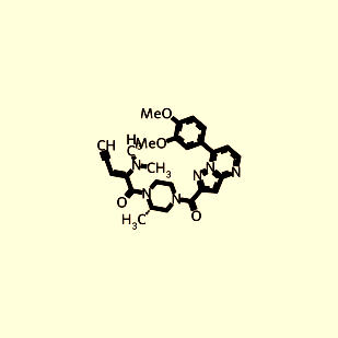 C#C/C=C(/C(=O)N1CCN(C(=O)c2cc3nccc(-c4ccc(OC)c(OC)c4)n3n2)C[C@@H]1C)N(C)C